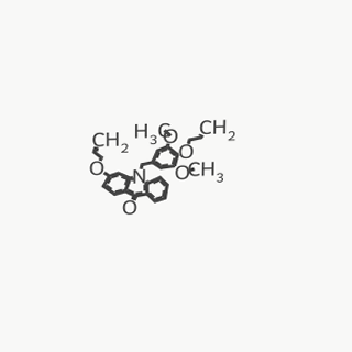 C=CCOc1ccc2c(=O)c3ccccc3n(Cc3cc(OC)c(OCC=C)c(OC)c3)c2c1